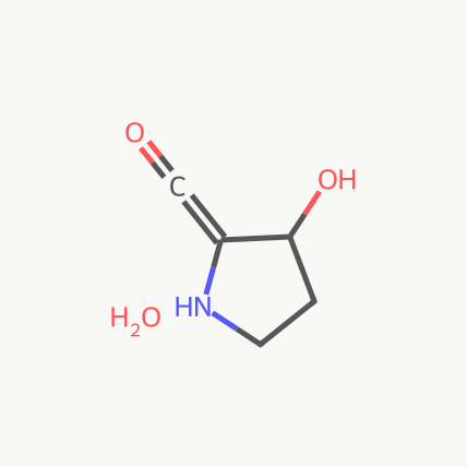 O.O=C=C1NCCC1O